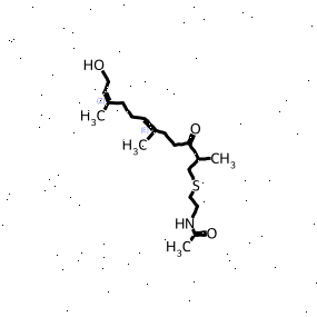 CC(=O)NCCSCC(C)C(=O)CC/C(C)=C/CC/C(C)=C\CO